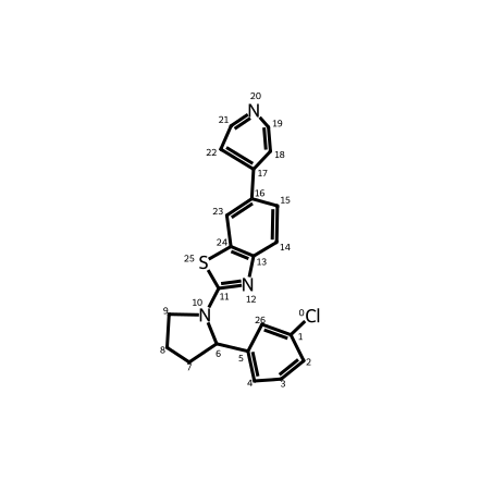 Clc1cccc(C2CCCN2c2nc3ccc(-c4ccncc4)cc3s2)c1